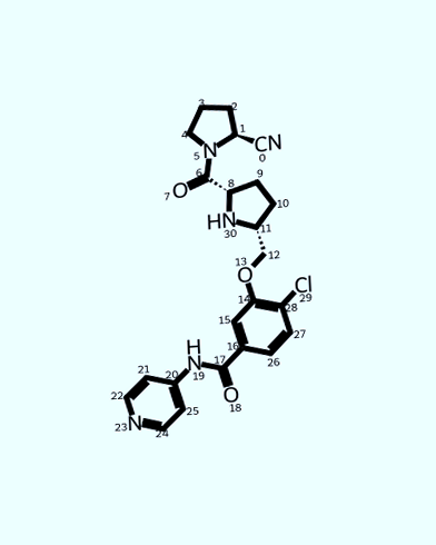 N#C[C@@H]1CCCN1C(=O)[C@@H]1CC[C@H](COc2cc(C(=O)Nc3ccncc3)ccc2Cl)N1